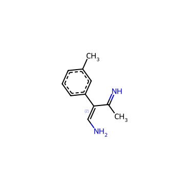 CC(=N)/C(=C\N)c1cccc(C)c1